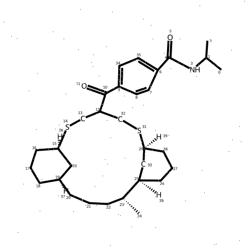 CC(C)NC(=O)c1ccc(C(=O)C2CS[C@@H]3CCC[C@H](CCC[C@@H](C)[C@@H]4CCC[C@@H](C4)SC2)C3)cc1